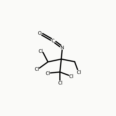 O=C=NC(CCl)(C(Cl)Cl)C(Cl)(Cl)Cl